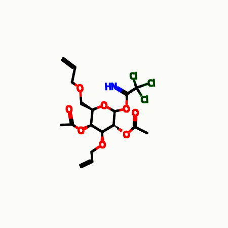 C=CCOC[C@H]1OC(OC(=N)C(Cl)(Cl)Cl)[C@H](OC(C)=O)[C@@H](OCC=C)[C@H]1OC(C)=O